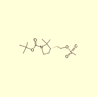 CC(C)(C)OC(=O)N1CC[C@@H](CCOS(C)(=O)=O)C1(C)C